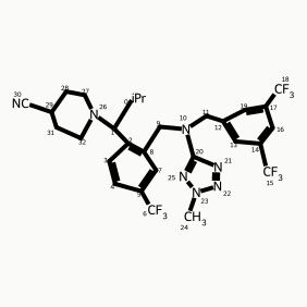 CC(C)C(c1ccc(C(F)(F)F)cc1CN(Cc1cc(C(F)(F)F)cc(C(F)(F)F)c1)c1nnn(C)n1)N1CCC(C#N)CC1